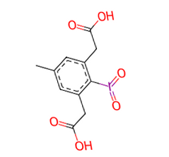 Cc1cc(CC(=O)O)c(I(=O)=O)c(CC(=O)O)c1